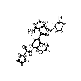 Nc1ncnc2c1c(-c1ccc(NC(=O)c3ccco3)c3c1OCO3)nn2[C@@H]1CCCNC1